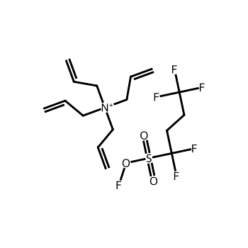 C=CC[N+](CC=C)(CC=C)CC=C.O=S(=O)(OF)C(F)(F)CCC(F)(F)F